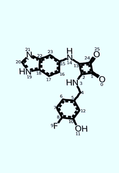 O=c1c(NCc2ccc(F)c(O)c2)c(Nc2ccc3[nH]cnc3c2)c1=O